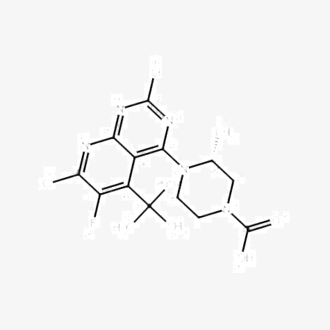 C[C@@H]1CN(C(=O)O)CCN1c1nc(Cl)nc2nc(Cl)c(F)c(C(C)(C)C)c12